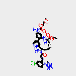 CCOC(=O)[C@H]1CCCCC[C@H](NC(=O)/C=C/c2cc(Cl)ccc2-n2cnnn2)c2cc(ccn2)-c2ccc(NC(=O)OCCOC)cc2N1